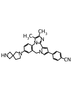 Cc1nc2n(c1C)-c1ccc(N3CCC4(CNC4)C3)cc1Cn1cc(-c3ccc(C#N)cc3)cc1-2